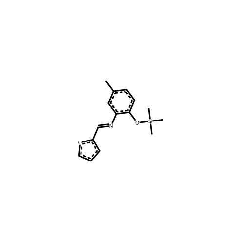 Cc1ccc(O[Si](C)(C)C)c(N=Cc2ccco2)c1